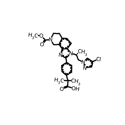 COC(=O)N1CCc2ccc3c(nc(-c4ccc(C(C)(C)C(=O)O)cc4)n3[C@@H](C)Cn3cc(Cl)cn3)c2C1